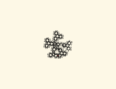 c1ccc2c(c1)c1ccccc1c1cc(Cc3cc4c5c(c3)N(c3ccc6c7ccccc7c7ccccc7c6c3)c3cc6c7ccccc7c7ccccc7c6cc3B5c3ccc(-n5c6ccccc6c6ccccc65)cc3N4c3ccc4c5ccccc5c5ccccc5c4c3)ccc21